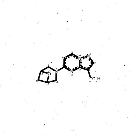 O=C(O)c1cnn2ccc(N3CC4CC(C3)O4)nc12